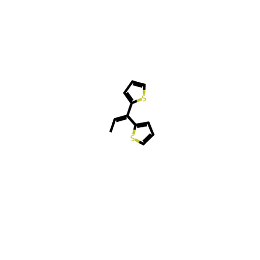 CC=C(c1cccs1)c1cccs1